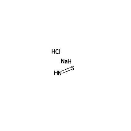 Cl.N=S.[NaH]